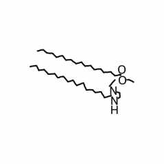 CCCCCCCCCCCCCCCCCC(=O)OCC.CCCCCCCCCCCCCCCCCC1NCCN1CC